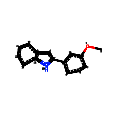 COc1cccc(-c2cc3cc[c]cc3[nH]2)c1